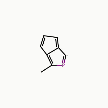 CC1=C2C=CC=C2[C]=P1